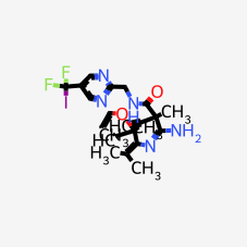 C#CC(C)(O/C=C\C)C(/N=C(/N)C(C)(C#C)C(=O)NCc1ncc(C(F)(F)I)cn1)=C(C)C